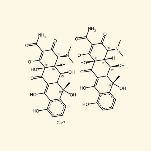 CN(C)[C@@H]1C(=O)C(C(N)=O)=C([O-])[C@@]2(O)C(=O)C3=C(O)c4c(O)cccc4[C@@](C)(O)C3[C@H](O)[C@@H]12.CN(C)[C@@H]1C(=O)C(C(N)=O)=C([O-])[C@@]2(O)C(=O)C3=C(O)c4c(O)cccc4[C@@](C)(O)C3[C@H](O)[C@@H]12.[Ca+2]